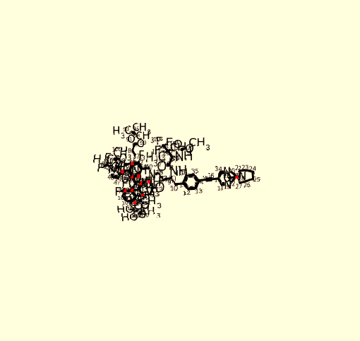 COC(=O)N[C@H](C(=O)N[C@@H](Cc1ccc(C#Cc2cnc(N3CC4CCC(C3)N4C3COC3)nc2)cc1)[C@H](CN(Cc1c(F)cc(-c2ccn(C(F)F)n2)cc1F)NC(=O)[C@@H](NC(=O)OC)C(C)(C)C(F)(F)F)OC(=O)CC(C)(C)c1c(CC(=O)N[C@@H](CCC(=O)OC(C)(C)C)C(=O)OC(C)(C)C)cccc1OP(=O)(O)O)C(C)(C)C(F)(F)F